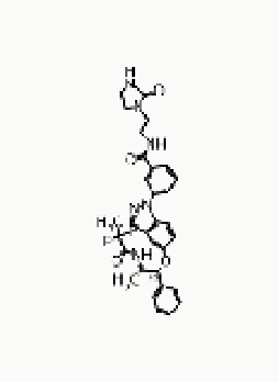 C[C@H](NC(=O)C(C)(F)F)[C@H](Oc1ccc2c(cnn2-c2cccc(C(=O)NCCN3CCNC3=O)c2)c1)c1ccccc1